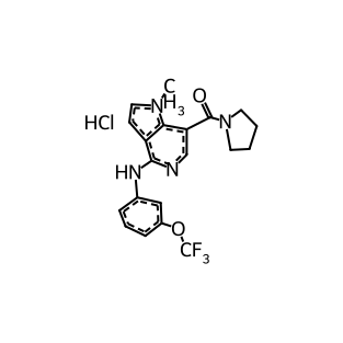 Cl.Cn1ccc2c(Nc3cccc(OC(F)(F)F)c3)ncc(C(=O)N3CCCC3)c21